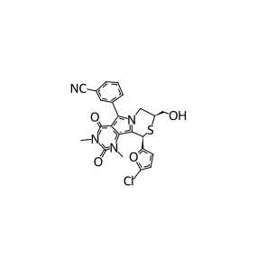 Cn1c(=O)c2c(-c3cccc(C#N)c3)n3c(c2n(C)c1=O)[C@H](c1ccc(Cl)o1)S[C@H](CO)C3